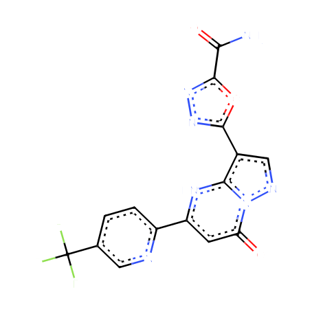 NC(=O)c1nnc(-c2cnn3c(=O)cc(-c4ccc(C(F)(F)F)cn4)[nH]c23)o1